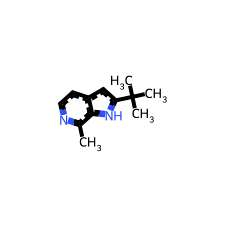 Cc1nccc2cc(C(C)(C)C)[nH]c12